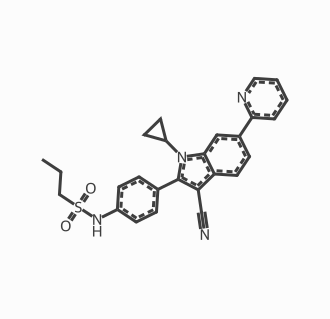 CCCS(=O)(=O)Nc1ccc(-c2c(C#N)c3ccc(-c4ccccn4)cc3n2C2CC2)cc1